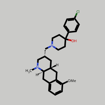 COc1cccc2c1C[C@H]1C[C@@H](CN3CCC(O)(c4ccc(Cl)cc4)CC3)CN(C)[C@@H]1C2